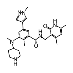 Cc1cc(C)c(CNC(=O)c2cc(-c3cnn(C)c3)cc(N(C)C3CCNCC3)c2C)c(=O)[nH]1